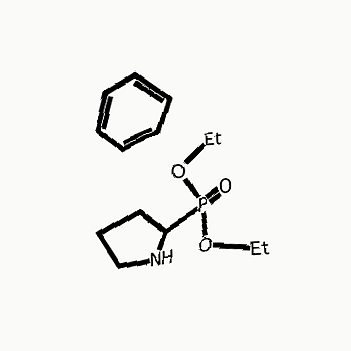 CCOP(=O)(OCC)C1CCCN1.c1ccccc1